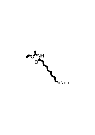 C=COC(C)NC(=O)CCCCCCCCCCCCCCCCC